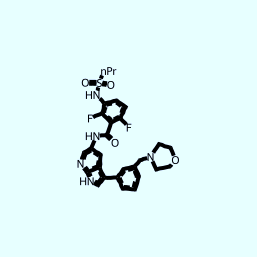 CCCS(=O)(=O)Nc1ccc(F)c(C(=O)Nc2cnc3[nH]cc(-c4cccc(CN5CCOCC5)c4)c3c2)c1F